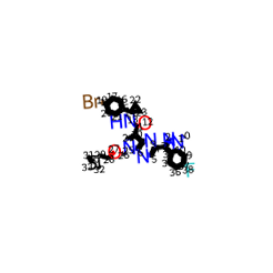 Cn1nc(-c2cnc3c(n2)c(C(=O)NC2(c4ccc(Br)cc4)CC2)cn3COCC[Si](C)(C)C)c2ccc(F)cc21